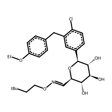 CCOc1ccc(Cc2cc([C@@H]3O[C@H](C=NOCCC(C)(C)C)[C@@H](O)[C@H](O)[C@H]3O)ccc2Cl)cc1